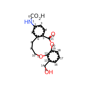 O=C(O)Nc1ccc2c(c1)CCCOc1c(CO)cccc1OC2=O